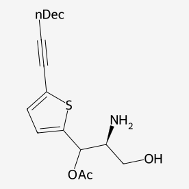 CCCCCCCCCCC#Cc1ccc(C(OC(C)=O)[C@@H](N)CO)s1